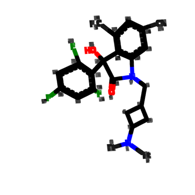 CCN(CC)C1CC(CN2C(=O)C(O)(c3c(F)cc(F)cc3F)c3c2cc(C#N)cc3C(F)(F)F)C1